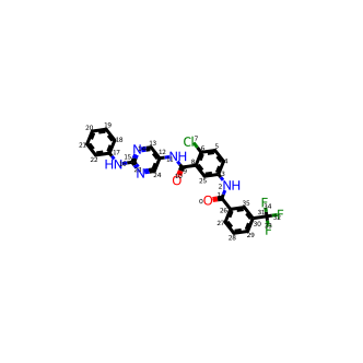 O=C(Nc1ccc(Cl)c(C(=O)Nc2cnc(Nc3ccccc3)nc2)c1)c1cccc(C(F)(F)F)c1